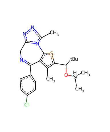 Cc1c(C(O[SiH](C)C)C(C)(C)C)sc2c1C(c1ccc(Cl)cc1)=NCc1nnc(C)n1-2